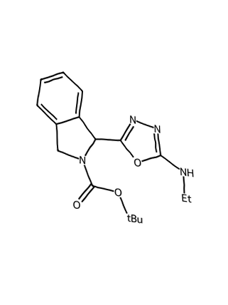 CCNc1nnc(C2c3ccccc3CN2C(=O)OC(C)(C)C)o1